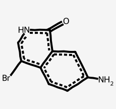 Nc1ccc2c(Br)c[nH]c(=O)c2c1